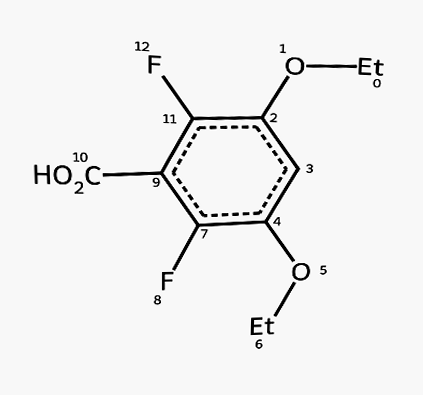 CCOc1cc(OCC)c(F)c(C(=O)O)c1F